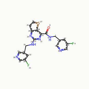 O=C(NCc1cncc(F)c1)c1nc(NCc2cncc(F)c2)nc2ccsc12